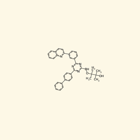 CC(C)(O)C(C)(C)OBc1nc(-c2ccc(-c3ccccc3)cc2)nc(-c2cccc(-c3ccc4ccccc4n3)c2)n1